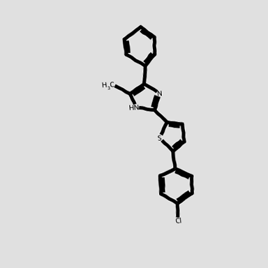 Cc1[nH]c(-c2ccc(-c3ccc(Cl)cc3)s2)nc1-c1ccccc1